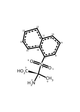 C[C@@](N)(C(=O)O)S(=O)(=O)c1cccc2ccccc12